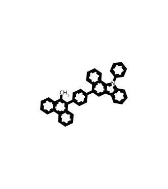 Cc1c(-c2ccc(-c3cc4c5ccccc5n(-c5ccccc5)c4c4ccccc34)cc2)c2ccccc2c2ccccc12